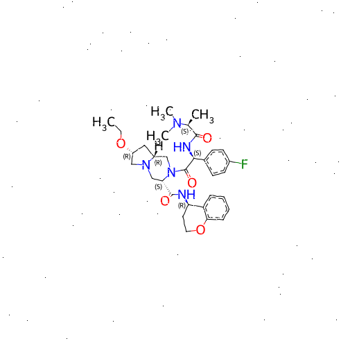 CCO[C@@H]1C[C@@H]2CN(C(=O)[C@@H](NC(=O)[C@H](C)N(C)C)c3ccc(F)cc3)[C@H](C(=O)N[C@@H]3CCOc4ccccc43)CN2C1